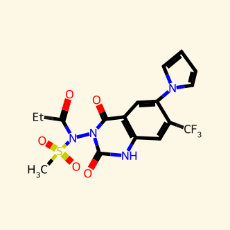 CCC(=O)N(n1c(=O)[nH]c2cc(C(F)(F)F)c(-n3cccc3)cc2c1=O)S(C)(=O)=O